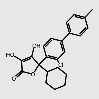 Cc1ccc(-c2ccc(C3(C4CCCCC4)OC(=O)C(O)=C3O)c(Cl)c2)cc1